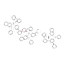 C1=Cc2c(oc3cc4c5c(c23)-c2cccc3c6ccccc6n(c23)B5c2cc3c(-c5ccc6c(c5)oc5c7c8c(cc56)-c5cccc6c9ccccc9n(c56)B8c5cc6ccccc6cc5N7c5ccccc5)cccc3cc2N4c2ccccc2)C(c2ccc3c(c2)c2cccc4c2n3B2c3cc5ccccc5cc3N(c3ccccc3)c3cc5c(oc6ccccc65)c-4c32)C1